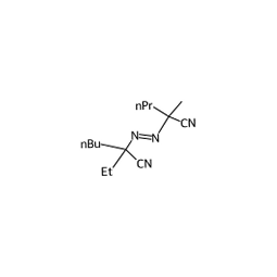 CCCCC(C#N)(CC)N=NC(C)(C#N)CCC